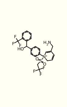 NCC1=C[N+](c2ccc(C(O)c3ccccc3C(F)(F)F)cc2)(S(=O)(=O)CC(F)(F)F)CC=C1